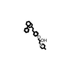 CC1CCN(C[C@H](O)COc2ccc(CCC3CC4CCCC(c5ccccc5)(C4)C3)cc2)CC1